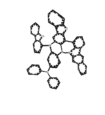 c1ccc(N(c2ccccc2)c2ccc3c(c2)N(c2cccc4c2oc2ccccc24)c2cc4c(sc5ccccc54)c4c2B3n2c3cc5ccccc5cc3c3cccc-4c32)cc1